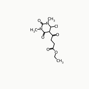 CCOC(=O)CCC(=O)C1C(=O)N(C)C(=O)N(C)C1Cl